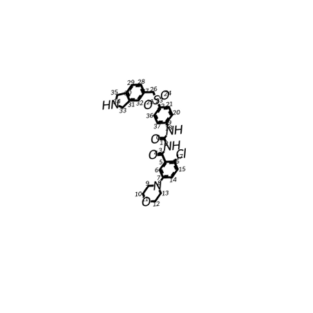 O=C(NC(=O)c1cc(N2CCOCC2)ccc1Cl)Nc1ccc(S(=O)(=O)Cc2ccc3c(c2)CNC3)cc1